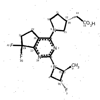 C[C@H]1[C@H](F)CN1c1nc(N2CC[C@H](CC(=O)O)C2)c2c(n1)C(F)(F)CC2